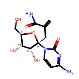 C=C(C[C@@]1(n2ccc(N)nc2=O)O[C@H](CO)[C@@H](O)[C@H]1O)C(N)=O